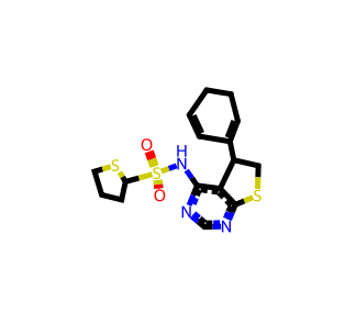 O=S(=O)(Nc1ncnc2c1C(C1=CCCC=C1)CS2)C1CCCS1